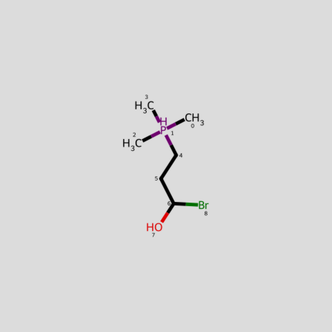 C[PH](C)(C)CCC(O)Br